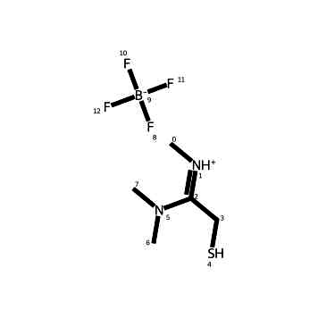 C[NH+]=C(CS)N(C)C.F[B-](F)(F)F